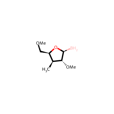 B[C@@H]1O[C@H](COC)[C@H](C)[C@H]1OC